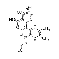 CCCc1ccc(-c2ccc(O)c(O)c2C(=O)O)c(CCC)c1CCC